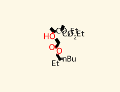 C=C(O)C(=O)OCC.C=CC(=O)OCC.C=CC(=O)OCC(CC)CCCC